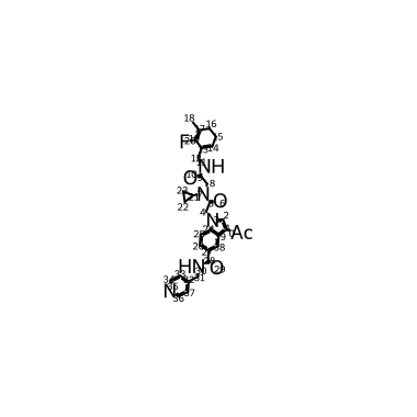 CC(=O)c1cn(CC(=O)N(CC(=O)NCC2=CCCC(C)=C2F)C2CC2)c2ccc(C(=O)NCc3ccncc3)cc12